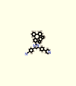 N#Cc1ccc(-c2cc(-c3ccc(-c4ccncc4)cc3)nc(-c3ccc4c(c3)C3(c5ccccc5-c5ccccc5-4)c4ccccc4-c4ccccc43)n2)cc1